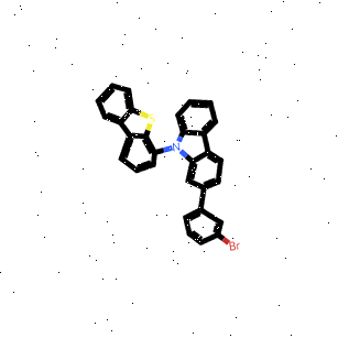 Brc1cccc(-c2ccc3c4ccccc4n(-c4cccc5c4sc4ccccc45)c3c2)c1